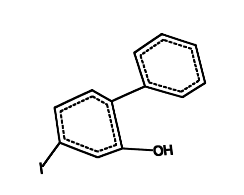 Oc1cc(I)ccc1-c1ccccc1